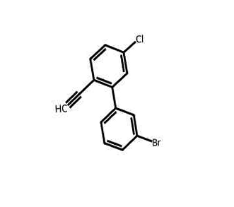 C#Cc1ccc(Cl)cc1-c1cccc(Br)c1